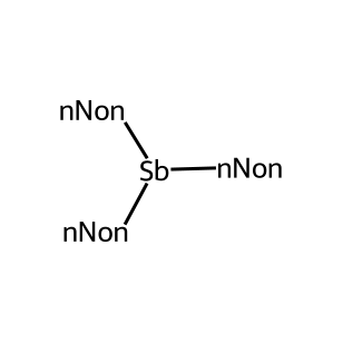 CCCCCCCC[CH2][Sb]([CH2]CCCCCCCC)[CH2]CCCCCCCC